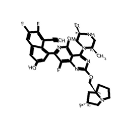 C#Cc1c(F)c(F)cc2cc(O)cc(-c3nc(OC)c4c(N5C[C@@H](CC)NC[C@H]5C)nc(OC[C@@]56CCCN5C[C@H](F)C6)nc4c3F)c12